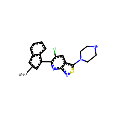 COc1cc(-c2nc3nsc(N4CCNCC4)c3cc2Cl)c2ccccc2c1